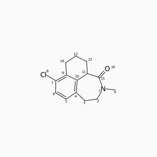 CN1CCc2ccc(Cl)c3c2C(CCC3)C1=O